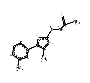 Cc1nc(SNC(N)=O)sc1-c1cccc([N+](=O)[O-])c1